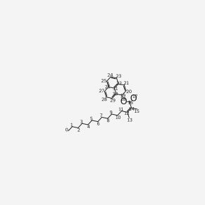 CCCCCCCCCCCCC(C)=C(C)C(=O)OC1C=Cc2cccc3cccc1c23